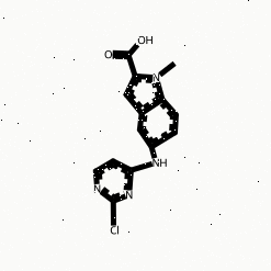 Cn1c(C(=O)O)cc2cc(Nc3ccnc(Cl)n3)ccc21